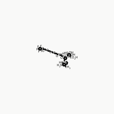 Cc1cc(N)c(O)c2c1ccc[n+]2Cc1ccc(O[C@@H]2O[C@H](C(=O)O)[C@@H](O)[C@H](O)[C@H]2O)c(NC(=O)CCNC(=O)CCOCCOCCOCCC(=O)Oc2c(F)c(F)c(F)c(F)c2F)c1